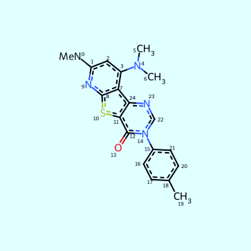 CNc1cc(N(C)C)c2c(n1)sc1c(=O)n(-c3ccc(C)cc3)cnc12